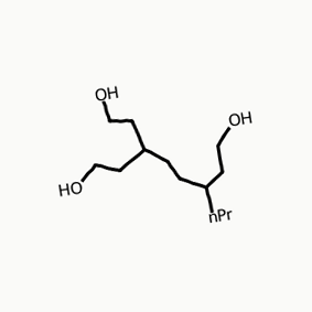 CCCC(CCO)CCC(CCO)CCO